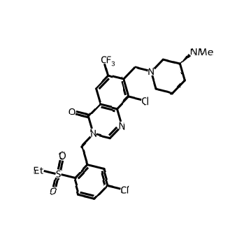 CCS(=O)(=O)c1ccc(Cl)cc1Cn1cnc2c(Cl)c(CN3CCC[C@H](NC)C3)c(C(F)(F)F)cc2c1=O